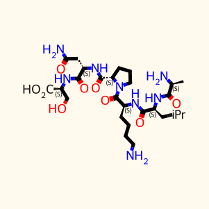 CC(C)C[C@H](NC(=O)[C@H](C)N)C(=O)N[C@@H](CCCCN)C(=O)N1CCC[C@H]1C(=O)N[C@@H](CC(N)=O)C(=O)N[C@@H](CO)C(=O)O